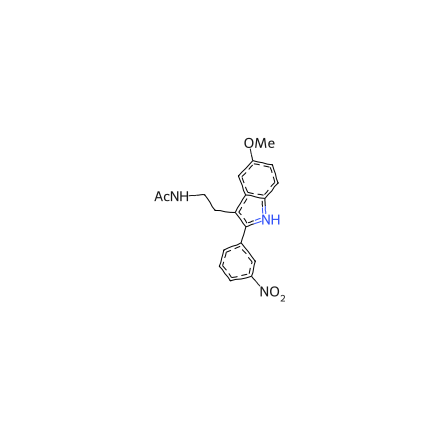 COc1ccc2[nH]c(-c3cccc([N+](=O)[O-])c3)c(CCNC(C)=O)c2c1